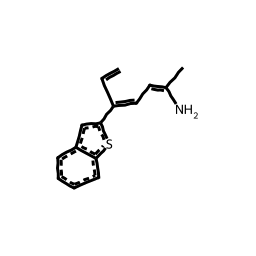 C=C/C(=C\C=C(\C)N)c1cc2ccccc2s1